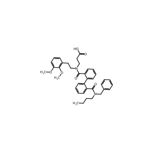 CCCCN(Cc1ccccc1)C(=O)c1ccccc1-c1ccccc1C(=O)N(CCC(=O)O)CCc1cccc(OC)c1OC